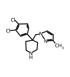 Cc1ccn(CC2(c3ccc(Cl)c(Cl)c3)CCNCC2)n1